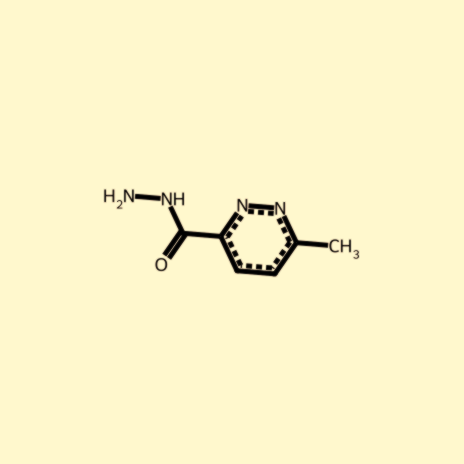 Cc1ccc(C(=O)NN)nn1